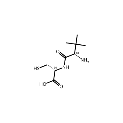 CC(C)(C)[C@H](N)C(=O)N[C@@H](CS)C(=O)O